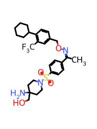 CC(=NOCc1ccc(C2CCCCC2)c(C(F)(F)F)c1)c1ccc(S(=O)(=O)N2CCC(N)(CO)CC2)cc1